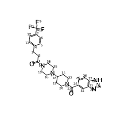 O=C(CCc1ccc(C(F)(F)F)cc1)N1CCN(C2CCN(C(=O)c3ccc4[nH]nnc4c3)CC2)CC1